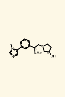 CN[C@H](CN1CC[C@@H](O)C1)c1cccc(-c2cncn2C)c1